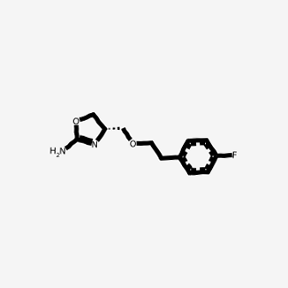 NC1=N[C@@H](COCCc2ccc(F)cc2)CO1